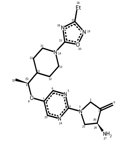 C=C1CN(c2ncc(O[C@@H](C)C3CCN(c4nc(CC)no4)CC3)cn2)C[C@@H]1N